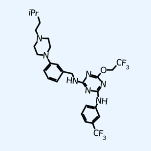 CC(C)CCN1CCN(c2cccc(CNc3nc(Nc4cccc(C(F)(F)F)c4)nc(OCC(F)(F)F)n3)c2)CC1